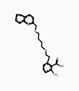 Cc1cccc(CCOCCCCOCc2ccc3ccccc3n2)c1C(=O)O